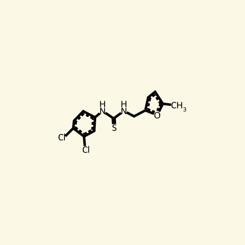 Cc1ccc(CNC(=S)Nc2ccc(Cl)c(Cl)c2)o1